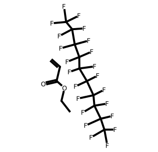 C=CC(=O)OCC.FC(F)(F)C(F)(F)C(F)(F)C(F)(F)C(F)(F)C(F)(F)C(F)(F)C(F)(F)C(F)(F)C(F)(F)F